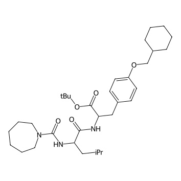 CC(C)CC(NC(=O)N1CCCCCC1)C(=O)NC(Cc1ccc(OCC2CCCCC2)cc1)C(=O)OC(C)(C)C